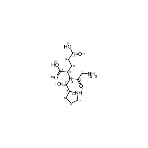 NCC(=O)N(C(=O)C1CCCN1)C(CCC(=O)O)C(=O)O